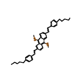 CCCCCc1ccc(/C=C/c2ccc3c(SC)c4cc(/C=C/c5ccc(CCCCC)cc5)ccc4c(SC)c3c2)cc1